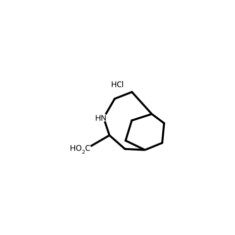 Cl.O=C(O)C1CC2CCC(CCN1)CC2